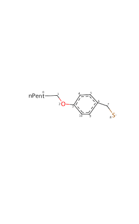 CCCCCCOc1ccc(C[S])cc1